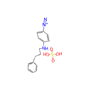 N#[N+]c1ccc(NCCCc2ccccc2)cc1.O=S(=O)(O)O